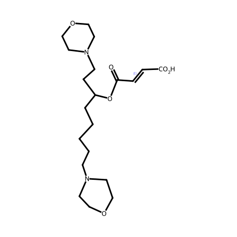 O=C(O)/C=C/C(=O)OC(CCCCCN1CCOCC1)CCN1CCOCC1